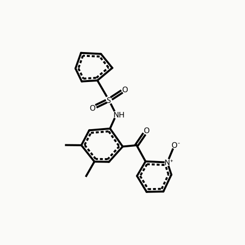 Cc1cc(NS(=O)(=O)c2ccccc2)c(C(=O)c2cccc[n+]2[O-])cc1C